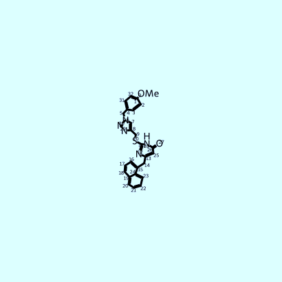 COc1ccc(Cn2cc(CSc3nc(Cc4cccc5ccccc45)cc(=O)[nH]3)nn2)cc1